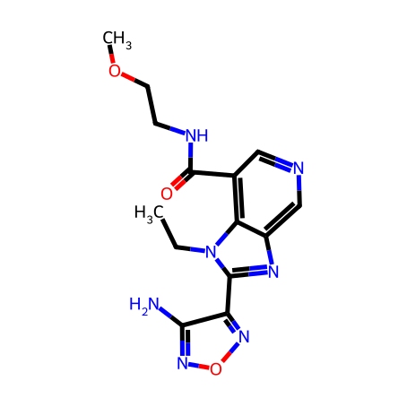 CCn1c(-c2nonc2N)nc2cncc(C(=O)NCCOC)c21